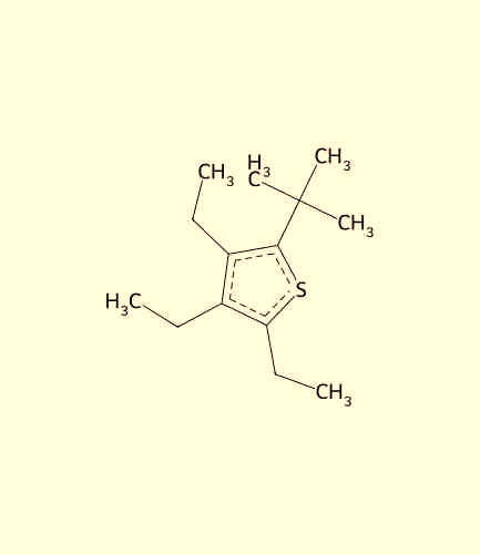 CCc1sc(C(C)(C)C)c(CC)c1CC